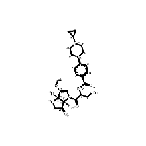 CCO[C@H]1CN(C(=O)C(CC(C)(C)C)NC(=O)c2ccc(N3CCN(C4CC4)CC3)cc2)[C@@H]2C(=O)CO[C@H]12